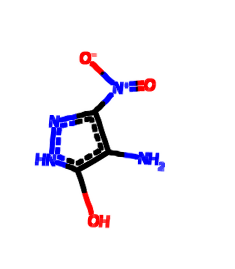 Nc1c([N+](=O)[O-])n[nH]c1O